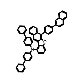 c1ccc(-c2ccc(N(c3ccc(-c4ccccc4)cc3)c3cccc4oc5c(-c6ccc(-c7ccc8ccccc8c7)cc6)c6ccccc6cc5c34)cc2)cc1